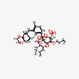 CCCCO[C@H]1[C@H](OCCCC)[C@@H](CO)OC(OC)(c2ccc(C)c(Cc3ccc4c(c3)OCCO4)c2)[C@@H]1OCCCC